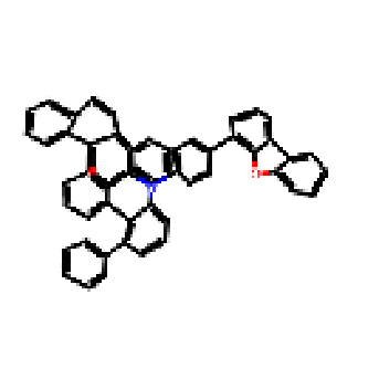 c1ccc(-c2ccccc2-c2c(-c3ccccc3)cccc2N(c2ccc(-c3cccc4c3oc3ccccc34)cc2)c2ccc3c(ccc4ccccc43)c2)cc1